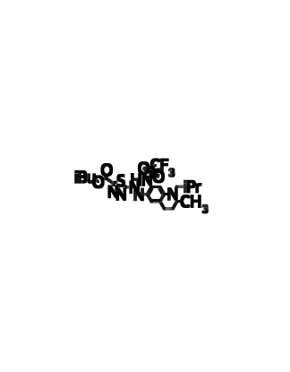 CCC(C)OC(=O)c1nnc(N=Nc2cc3c(cc2NS(=O)(=O)C(F)(F)F)N(CC(C)C)C(C)CC3)s1